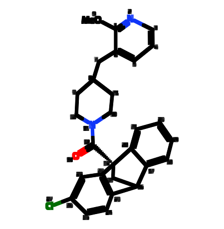 COc1ncccc1CC1CCN(C(=O)[C@@]23CC(c4ccccc42)c2ccc(Cl)cc23)CC1